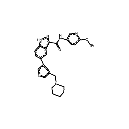 CC(C)Oc1ccc(NC(=O)c2n[nH]c3ccc(-c4cncc(CN5CCCCC5)c4)cc23)cn1